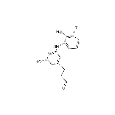 Cc1c(Cl)cccc1Nc1nc(O)cc(CCC=O)n1